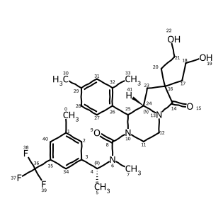 Cc1cc([C@@H](C)N(C)C(=O)N2CCN3C(=O)C(CCO)(CCO)C[C@H]3C2c2ccc(C)cc2C)cc(C(F)(F)F)c1